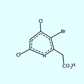 O=C(O)Cc1nc(Cl)cc(Cl)c1Br